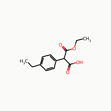 CCOC(=O)C(C(=O)O)c1ccc(CC)cc1